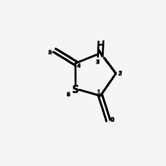 C=C1CNC(=C)S1